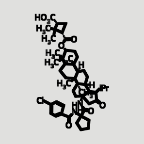 CC(C)C1=C2[C@H]3CC[C@@H]4[C@@]5(C)CC[C@H](OC(=O)[C@H]6C[C@@H](C(=O)O)C6(C)C)C(C)(C)C5CC[C@@]4(C)[C@]3(C)CC[C@@]2(NC(=O)C2(NC(=O)c3ccc(Cl)cc3)CCCC2)CC1=O